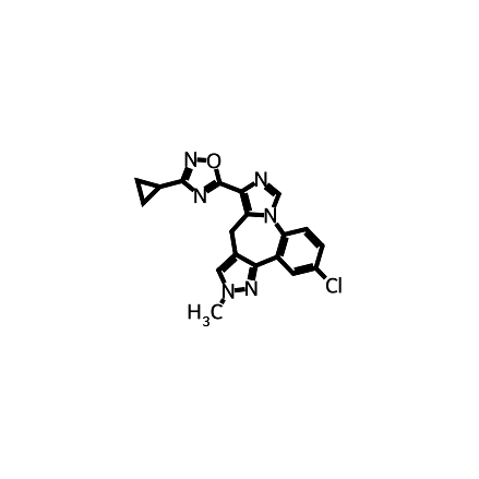 Cn1cc2c(n1)-c1cc(Cl)ccc1-n1cnc(-c3nc(C4CC4)no3)c1C2